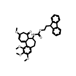 COC1=CC=C2c3c(cc(OC)c(OC)c3OC)CCC(NC(=O)OCCC3c4ccccc4-c4ccccc43)C2C(=O)C1